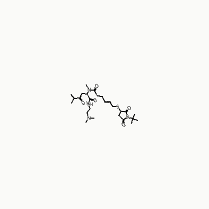 CC(C)C(=O)CC(C(=O)NCCN(C)C)N(C)C(=O)CCCCCSC1CC(=O)N(C(C)(C)C)C1=O